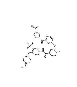 CCN1CCN(Cc2ccc(NC(=O)c3ccc(C)c(Oc4ccnc(NC5CCN(C(C)=O)C5)n4)c3)cc2C(F)(F)F)CC1